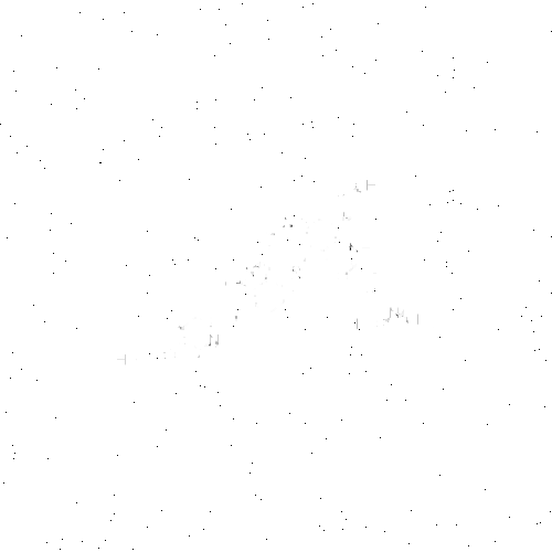 CCOc1ccc(COc2ccc(NC3c4cc(NC(=O)CCCN(C)C)c(OCC)cc4NCC3C#N)cc2Cl)nc1